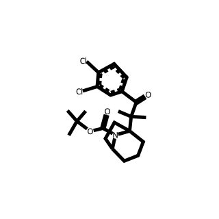 CC(C)(C)OC(=O)N1C2CCCC1(C(C)(C)C(=O)c1ccc(Cl)c(Cl)c1)CC2